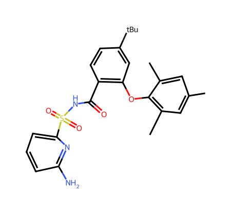 Cc1cc(C)c(Oc2cc(C(C)(C)C)ccc2C(=O)NS(=O)(=O)c2cccc(N)n2)c(C)c1